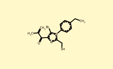 C=C(C)C(=O)c1nc(CS)n(-c2ccc(CC)cc2)c1Br